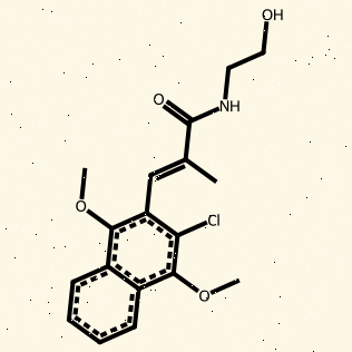 COc1c(Cl)c(C=C(C)C(=O)NCCO)c(OC)c2ccccc12